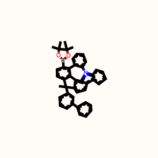 CC1(c2cccc(-c3ccccc3)c2)c2ccc(B3OC(C)(C)C(C)(C)O3)c3c2-c2c1ccc1c4ccccc4n(c21)-c1ccccc1-3